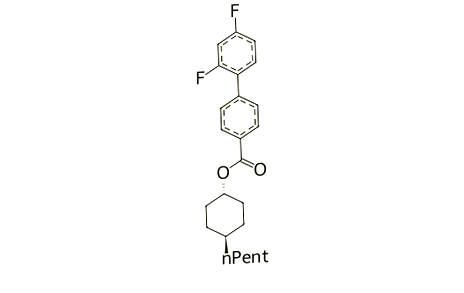 CCCCC[C@H]1CC[C@H](OC(=O)c2ccc(-c3ccc(F)cc3F)cc2)CC1